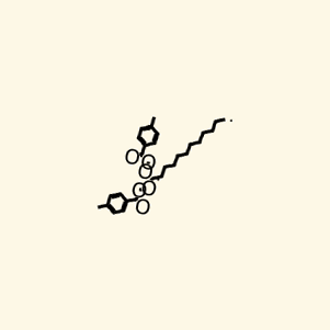 [CH2]CCCCCCCCCC[C](OOC(=O)c1ccc(C)cc1)OOC(=O)c1ccc(C)cc1